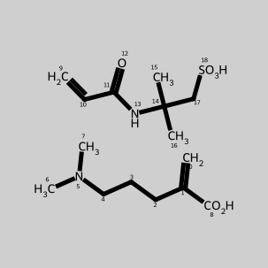 C=C(CCCN(C)C)C(=O)O.C=CC(=O)NC(C)(C)CS(=O)(=O)O